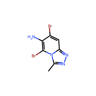 Cc1nnc2cc(Br)c(N)c(Br)n12